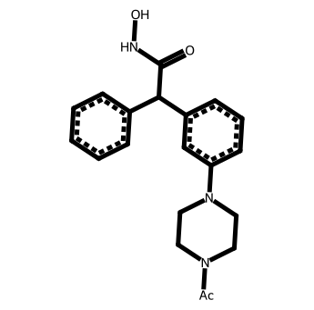 CC(=O)N1CCN(c2cccc(C(C(=O)NO)c3ccccc3)c2)CC1